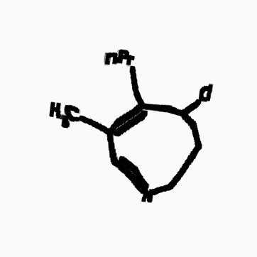 CCCC1=C(C)C=NCCC1Cl